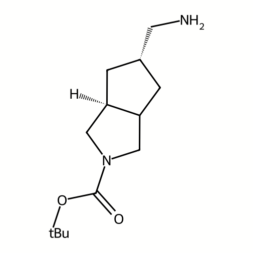 CC(C)(C)OC(=O)N1CC2C[C@@H](CN)C[C@@H]2C1